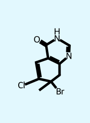 CC1(Br)Cc2nc[nH]c(=O)c2C=C1Cl